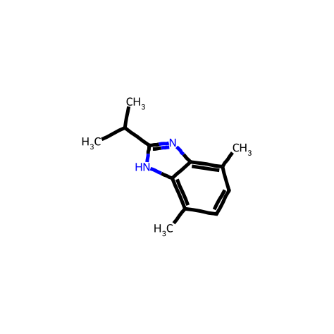 Cc1ccc(C)c2[nH]c(C(C)C)nc12